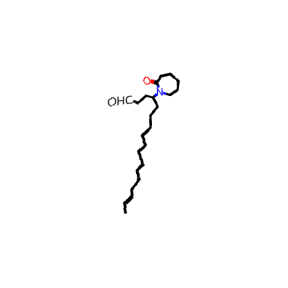 CC=CCCCCCCCCCCC(CCC=O)N1CCCCCC1=O